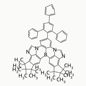 CC1(C)c2cc3c4c(ncn4-c4cc(-c5c(-c6ccccc6)cc(-c6ccccc6)cc5-c5ccccc5)cc5c4B3c3cc4c(c6ncn-5c36)C(C)(C)C(C)(C)C4(C)C)c2C(C)(C)C1(C)C